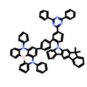 CC1(C)c2ccccc2-c2cc3c4ccccc4n(-c4ccc(-c5nc(-c6ccccc6)nc(-c6ccccc6)n5)cc4-c4ccc(-c5cc6c7c(c5)N(c5ccccc5)c5ccccc5B7c5ccccc5N6c5ccccc5)cc4)c3cc21